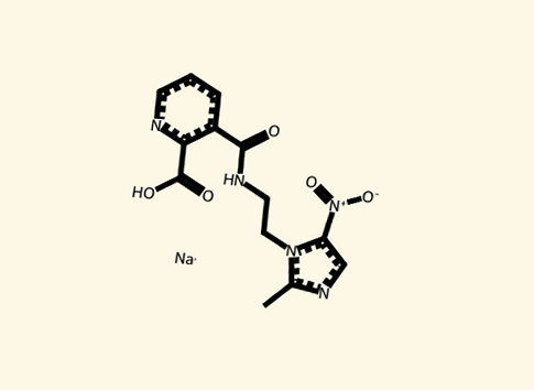 Cc1ncc([N+](=O)[O-])n1CCNC(=O)c1cccnc1C(=O)O.[Na]